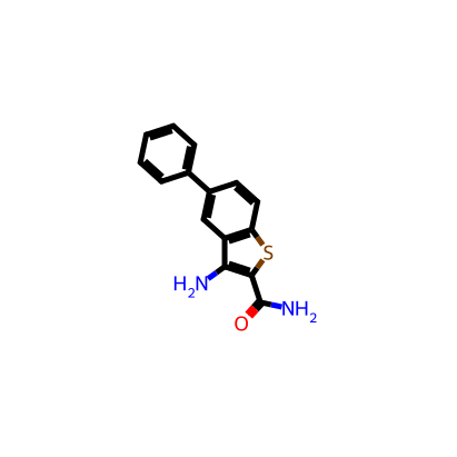 NC(=O)c1sc2ccc(-c3ccccc3)cc2c1N